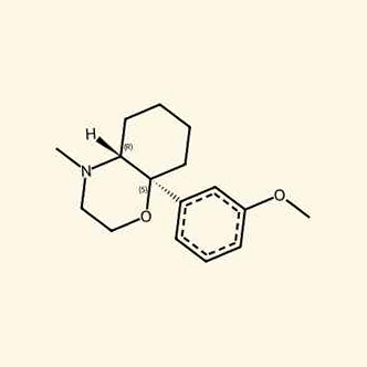 COc1cccc([C@@]23CCCC[C@H]2N(C)CCO3)c1